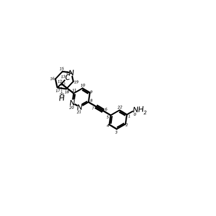 Nc1cccc(C#Cc2ccc([C@@H]3CN4CCC3CC4)nn2)c1